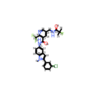 Cn1c(-c2cccc(Cl)c2)cc2cc(NC(=O)c3cc(CNC(=O)C(C)(C)F)cnc3C(F)F)ccc21